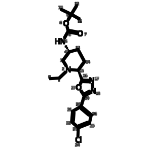 CCN1C[C@H](NC(=O)OC(C)(C)C)CC[C@H]1c1nnc(-c2ccc(Cl)cc2)o1